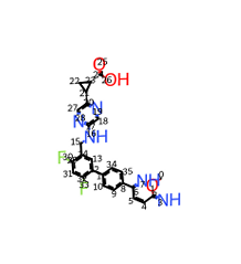 COC(=N)/C=C\C(=N)c1ccc(-c2cc(CNc3cnc([C@H]4C[C@@H]4C(=O)O)cn3)c(F)cc2F)cc1